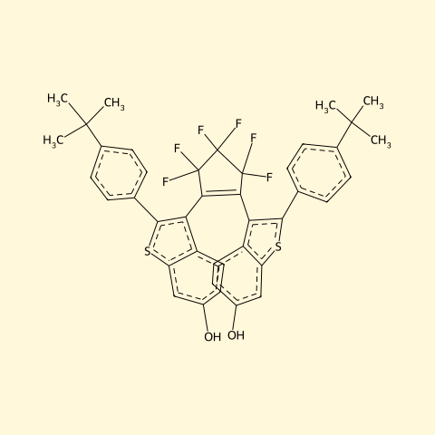 CC(C)(C)c1ccc(-c2sc3cc(O)ccc3c2C2=C(c3c(-c4ccc(C(C)(C)C)cc4)sc4cc(O)ccc34)C(F)(F)C(F)(F)C2(F)F)cc1